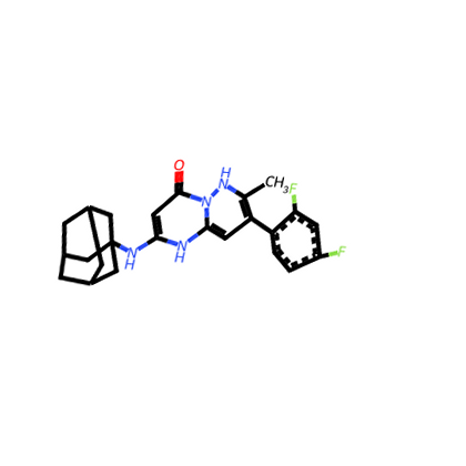 CC1=C(c2ccc(F)cc2F)C=C2NC(NC34CC5CC(CC(C5)C3)C4)=CC(=O)N2N1